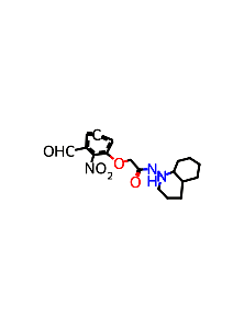 O=Cc1cccc(OCC(=O)NN2CCCC3CCCCC32)c1[N+](=O)[O-]